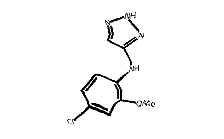 COc1cc(Cl)ccc1Nc1cn[nH]n1